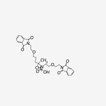 CC(C)(CCCOCCN1C(=O)c2ccccc2C1=O)N(CCOCCN1C(=O)c2ccccc2C1=O)C(=O)O